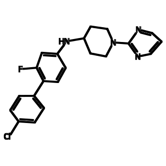 Fc1cc(NC2CCN(c3ncccn3)CC2)ccc1-c1ccc(Cl)cc1